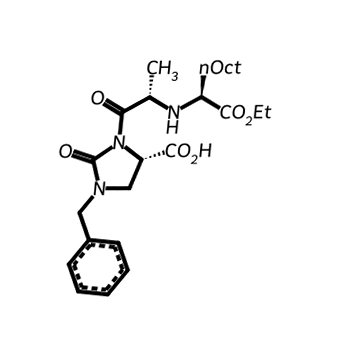 CCCCCCCC[C@H](N[C@@H](C)C(=O)N1C(=O)N(Cc2ccccc2)C[C@H]1C(=O)O)C(=O)OCC